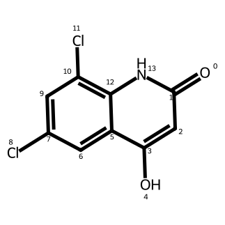 O=c1cc(O)c2cc(Cl)cc(Cl)c2[nH]1